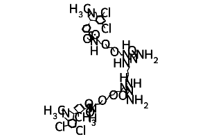 CN1Cc2c(Cl)cc(Cl)cc2[C@H](c2cccc(S(=O)(=O)NCCOCCOCCN/C(=N\C(N)=O)NCCCCN/C(=N/C(N)=O)NCCOCCOCCNS(=O)(=O)C3=CC=CC(C)([C@@H]4CN(C)Cc5c(Cl)cc(Cl)cc54)C3)c2)C1